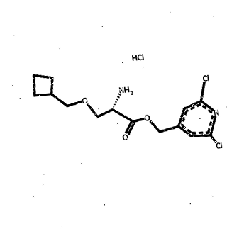 Cl.N[C@@H](COCC1CCC1)C(=O)OCc1cc(Cl)nc(Cl)c1